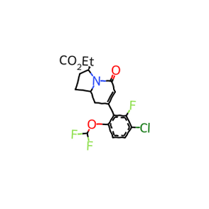 CCOC(=O)[C@@H]1CCC2CC(c3c(OC(F)F)ccc(Cl)c3F)=CC(=O)N21